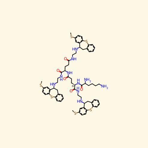 CSc1ccc2c(c1)C(NCCNC(=O)CCC(NC(=O)CC[C@@H](NC(=O)C(N)CCCCN)C(=O)NCCNC1Cc3ccccc3Sc3ccc(SC)cc31)C(=O)NCCNC1Cc3ccccc3Sc3ccc(SC)cc31)Cc1ccccc1S2